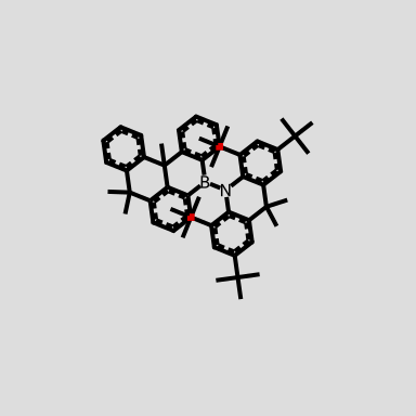 CC(C)(C)c1cc(C(C)(C)C)c2c(c1)C(C)(C)c1cc(C(C)(C)C)cc(C(C)(C)C)c1N2B1c2ccccc2C2(C)c3ccccc3C(C)(C)c3cccc1c32